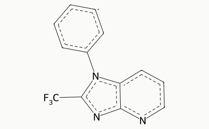 FC(F)(F)c1nc2ncccc2n1-c1c[c]ccc1